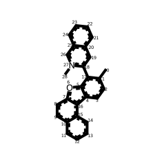 Cc1ccc2c(oc3ccc4ccccc4c32)c1-c1cc2ccccc2c[n+]1C